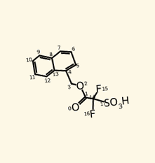 O=C(OCc1cccc2ccccc12)C(F)(F)S(=O)(=O)O